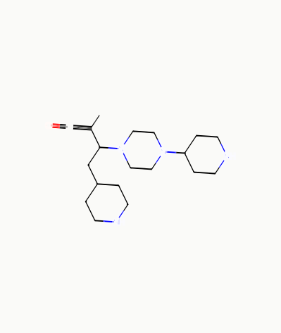 O=C=C(C(=O)O)C(CC1CCNCC1)N1CCN(C2CCNCC2)CC1